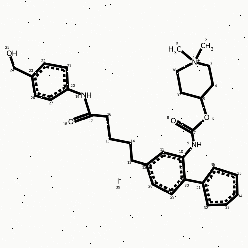 C[N+]1(C)CCC(OC(=O)Nc2cc(CCCCC(=O)Nc3ccc(CO)cc3)ccc2-c2ccccc2)CC1.[I-]